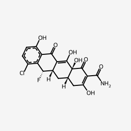 NC(=O)C1=C(O)C[C@@H]2C[C@H]3C(=C(O)[C@]2(O)C1=O)C(=O)c1c(O)ccc(Cl)c1[C@H]3F